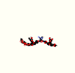 [C-]#[N+]/C(C#N)=C1C=C(/C=C/c2ccc(-c3ccc4c(c3)C(CCCCCC)(CCCCCC)c3cc(-c5ccc(C)cc5)ccc3-4)cc2)OC(/C=C/c2ccc(-c3ccc4c(c3)C(CCCCCC)(CCCCCC)c3cc(-c5ccc(COC(=O)C(CC(C)(C)C(=O)OC(C)(C)C)C(C)C)cc5)ccc3-4)cc2)=C\1